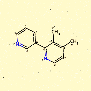 Cc1[c]cnc(-c2cccnc2)c1C